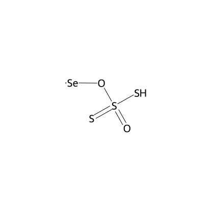 O=S(=S)(S)O[Se]